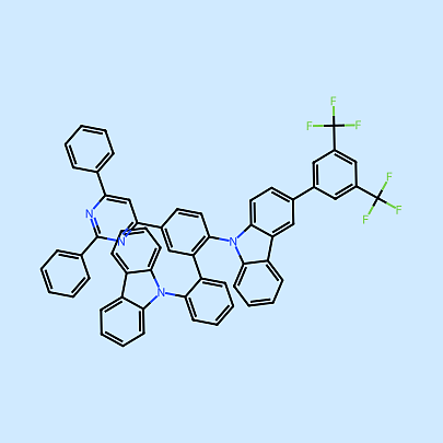 FC(F)(F)c1cc(-c2ccc3c(c2)c2ccccc2n3-c2ccc(-c3cc(-c4ccccc4)nc(-c4ccccc4)n3)cc2-c2ccccc2-n2c3ccccc3c3ccccc32)cc(C(F)(F)F)c1